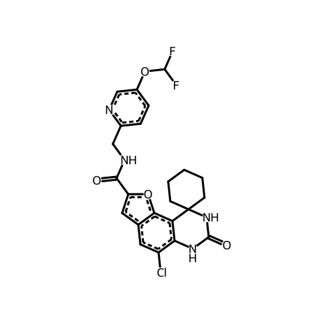 O=C1Nc2c(Cl)cc3cc(C(=O)NCc4ccc(OC(F)F)cn4)oc3c2C2(CCCCC2)N1